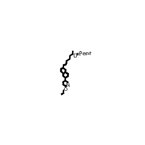 C=CCOc1ccc(-c2ccc3cc(C=CCCCC(C)OCCCCC)ccc3c2)cn1